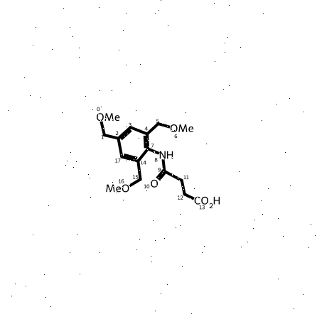 COCc1cc(COC)c(NC(=O)CCC(=O)O)c(COC)c1